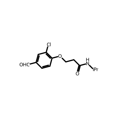 CC(C)NC(=O)CCOc1ccc(C=O)cc1Cl